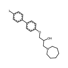 OC(COc1ccc(-c2ccc(I)cc2)cc1)CN1CCCCCC1